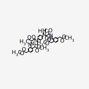 COC(=O)Cc1ccc(CC(=O)OC)c(/N=N/C(C(C)=O)C(=O)Nc2ccc(NC(=O)C(/N=N/c3cc(CC(=O)OC)ccc3CC(=O)OC)C(C)=O)cc2)c1